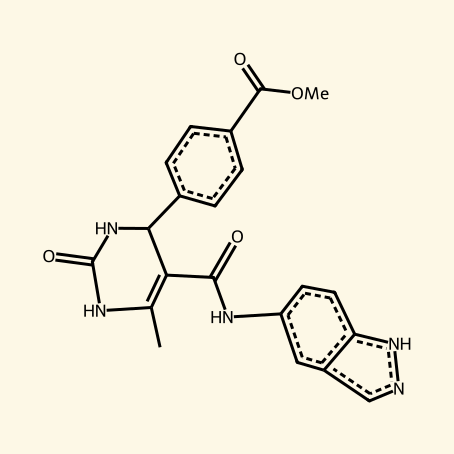 COC(=O)c1ccc(C2NC(=O)NC(C)=C2C(=O)Nc2ccc3[nH]ncc3c2)cc1